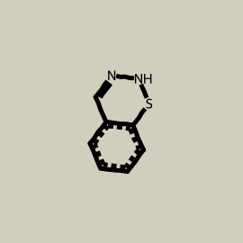 C1=NNSc2ccccc21